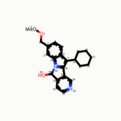 COOCc1ccc2c(C3CCCCC3)c3n(c2c1)C(O)c1ccncc1-3